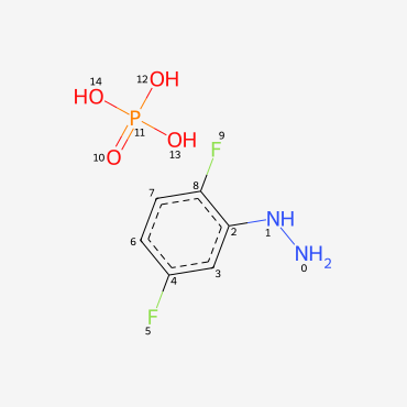 NNc1cc(F)ccc1F.O=P(O)(O)O